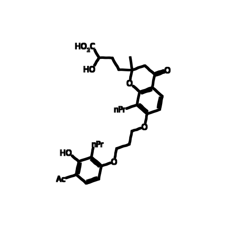 CCCc1c(OCCCOc2ccc3c(c2CCC)OC(C)(CCC(O)C(=O)O)CC3=O)ccc(C(C)=O)c1O